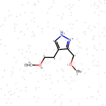 CC(C)(C)OCc1n[nH]cc1CCOC=O